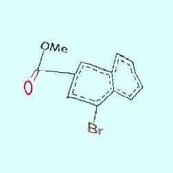 COC(=O)c1cc(Br)c2ccccc2c1